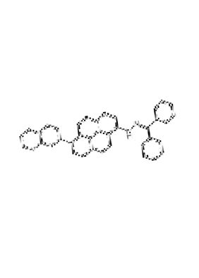 c1ccc(C(=NNc2ccc3ccc4c(-c5ccc6ccccc6c5)ccc5ccc2c3c54)c2ccccc2)cc1